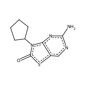 Nc1ncc2sc(=O)n(C3CCCC3)c2n1